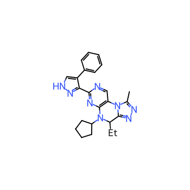 CCC1c2nnc(C)n2-c2cnc(-c3n[nH]cc3-c3ccccc3)nc2N1C1CCCC1